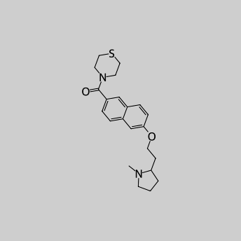 CN1CCCC1CCOc1ccc2cc(C(=O)N3CCSCC3)ccc2c1